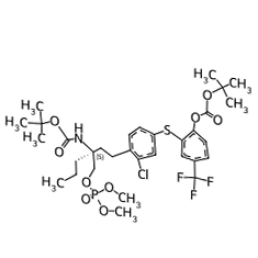 CCC[C@](CCc1ccc(Sc2cc(C(F)(F)F)ccc2OC(=O)OC(C)(C)C)cc1Cl)(COP(=O)(OC)OC)NC(=O)OC(C)(C)C